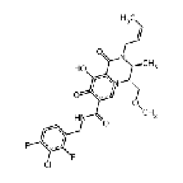 C/C=C\CN1C(=O)c2c(O)c(=O)c(C(=O)NCc3ccc(F)c(Cl)c3F)cn2[C@@H](COC)[C@@H]1C